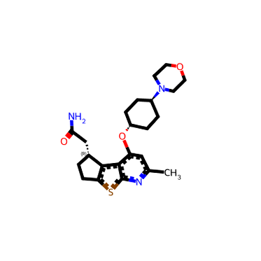 Cc1cc(O[C@H]2CC[C@H](N3CCOCC3)CC2)c2c3c(sc2n1)CC[C@@H]3CC(N)=O